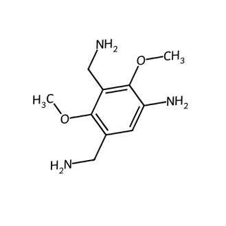 COc1c(N)cc(CN)c(OC)c1CN